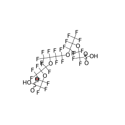 O=S(=O)(O)C(F)(F)C(F)(F)OC(F)(C(F)(F)F)C(F)(F)OC(F)(F)C(F)(F)C(F)(OC(F)(F)C(F)(OC(F)(F)C(F)(F)S(=O)(=O)O)C(F)(F)F)C(F)(F)F